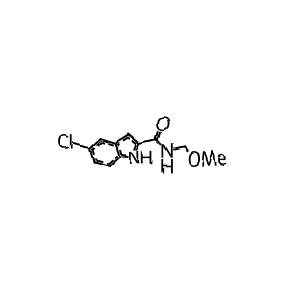 COCNC(=O)c1cc2cc(Cl)ccc2[nH]1